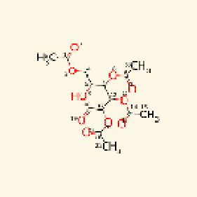 CC(=O)OCC(O)C(OC(C)=O)C(OC(C)=O)C(C=O)OC(C)=O